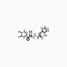 C=C/C=C\C(=C/C=C)C(=O)NCCCN1CCc2ccccc2C1